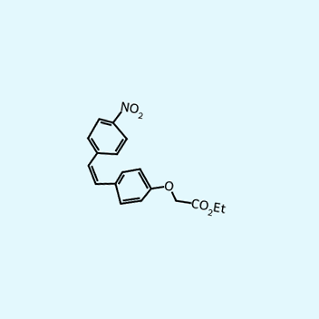 CCOC(=O)COc1ccc(/C=C\c2ccc([N+](=O)[O-])cc2)cc1